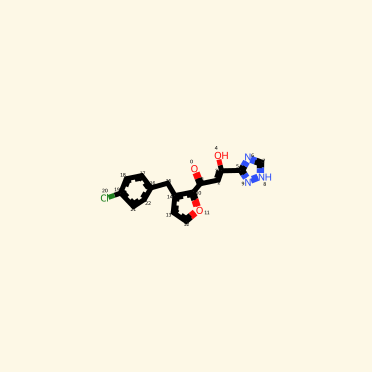 O=C(C=C(O)c1nc[nH]n1)c1occc1Cc1ccc(Cl)cc1